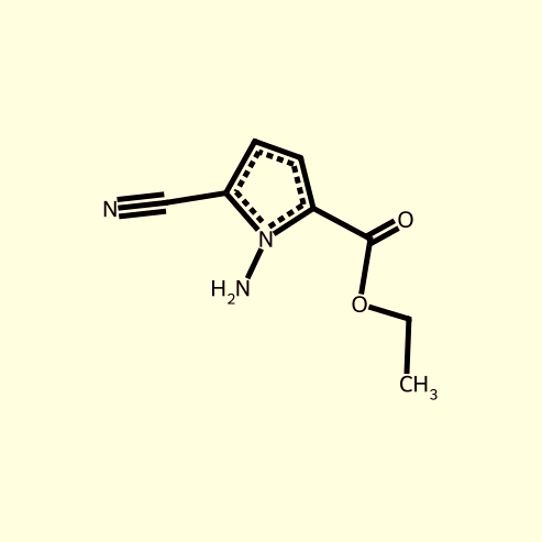 CCOC(=O)c1ccc(C#N)n1N